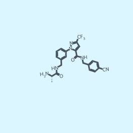 C[C@H](N)C(=O)NCc1cccc(-n2nc(C(F)(F)F)cc2C(=O)NCc2ccc(C#N)cc2)c1